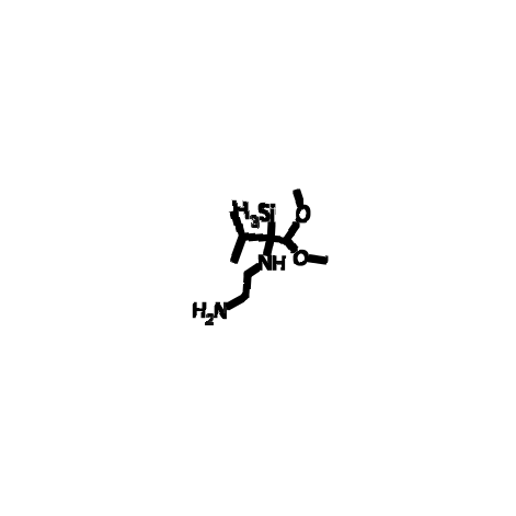 COC(OC)C([SiH3])(NCCN)C(C)C